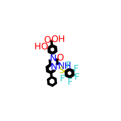 O=C(O)c1ccc(N(Cc2ccc(C3CCCCC3)cn2)C(=O)CNSc2c(F)c(F)c(F)c(F)c2F)cc1O